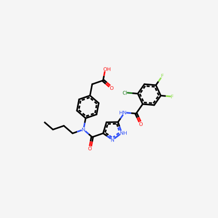 CCCCN(C(=O)c1cc(NC(=O)c2cc(F)c(F)cc2Cl)[nH]n1)c1ccc(CC(=O)O)cc1